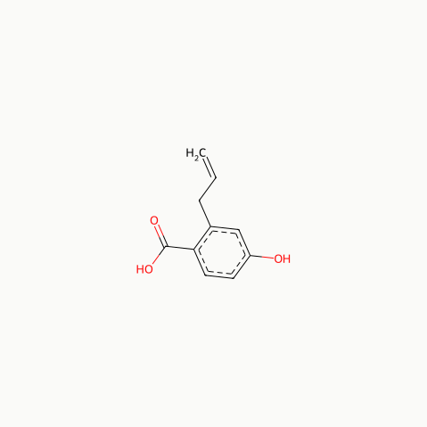 C=CCc1cc(O)ccc1C(=O)O